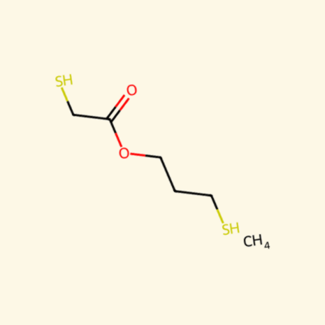 C.O=C(CS)OCCCS